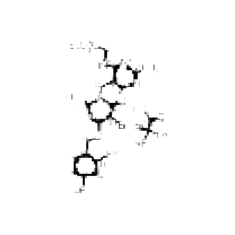 CCOC(=O)CNc1nc(C)ncc1Cn1c(C)nc(OCc2ccc(F)cc2F)c(Br)c1=O.O=C(O)C(F)(F)F